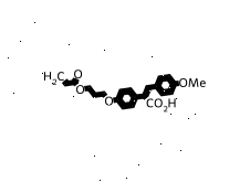 C=CC(=O)OCCCOc1ccc(C(=Cc2ccc(OC)cc2)C(=O)O)cc1